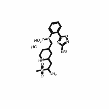 CC(C)(C)c1noc(-c2ccccc2N(CC2CCNC(CC(N)S(C)(=O)=O)C2)C(=O)O)n1.Cl